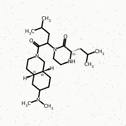 CC(C)CC(C(=O)N1CC[C@H]2CC(N(C)C)CC[C@H]2C1)N1CCN[C@@H](CC(C)C)C1=O